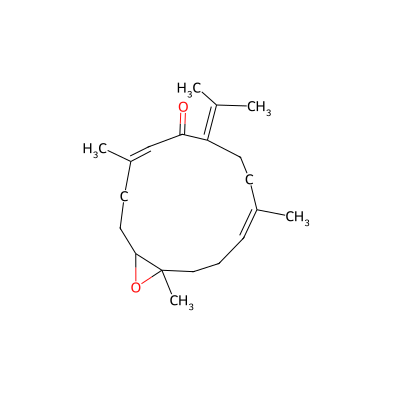 CC1=CCCC2(C)OC2CCC(C)=CC(=O)C(=C(C)C)CC1